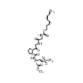 C=C/C=C\C=C/CCOC(=O)NCC(=O)NCC(=O)N1CCC[C@@H]1C(=O)N[C@H](/C=C/S(C)(=O)=O)CC(=O)OC(C)(C)C